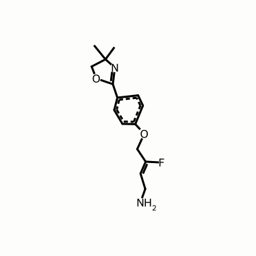 CC1(C)COC(c2ccc(OCC(F)=CCN)cc2)=N1